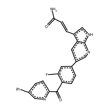 CC(C)c1ccc(C(=O)c2ccc(-c3cnc4[nH]cc(/C=C/C(N)=O)c4c3)cc2F)nc1